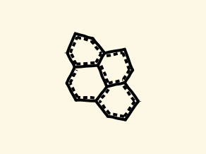 [c]1ccc2ccc3[c]ccc4ccc1c2c34